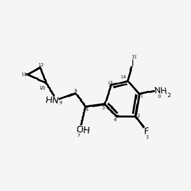 Nc1c(F)cc(C(O)CNC2CC2)cc1I